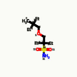 CCC(C)(CC)COCC(CC)(CC)S(N)(=O)=O